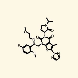 COCCO[C@@H](Cn1c(=O)n([C@@H]2CCN(C(C)C)C2=O)c(=O)c2c(C)c(-n3nccn3)sc21)c1cc(F)ccc1OC